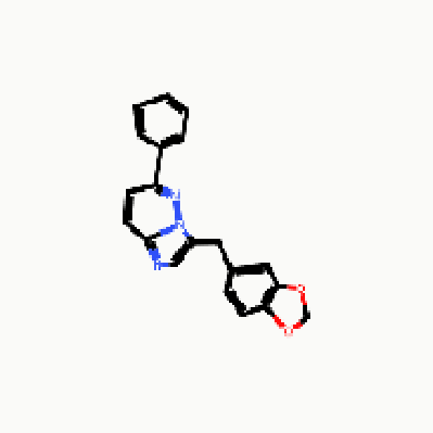 c1ccc(-c2ccc3ncc(Cc4ccc5c(c4)OCO5)n3n2)cc1